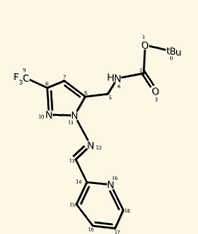 CC(C)(C)OC(=O)NCc1cc(C(F)(F)F)nn1/N=C/c1ccccn1